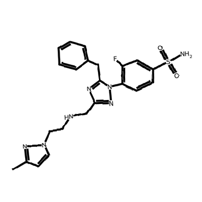 Cc1ccn(CCNCc2nc(Cc3ccccc3)n(-c3ccc(S(N)(=O)=O)cc3F)n2)n1